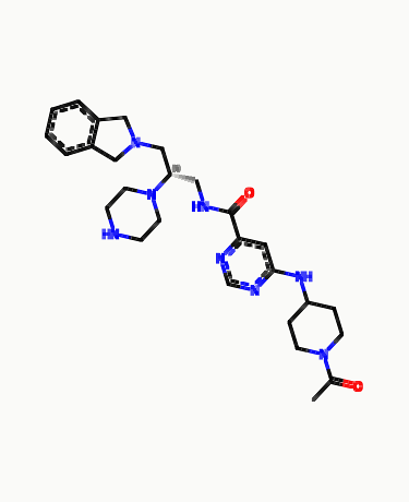 CC(=O)N1CCC(Nc2cc(C(=O)NC[C@@H](CN3Cc4ccccc4C3)N3CCNCC3)ncn2)CC1